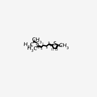 C=C(C)S/C(C)=C\CC/C=C1\CC=C(C)S1